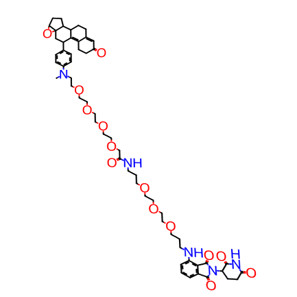 CN(CCOCCOCCOCCOCC(=O)NCCCOCCOCCOCCCNc1cccc2c1C(=O)N(C1CCC(=O)NC1=O)C2=O)c1ccc(C2CC34OC3CCC4C3CCC4=CC(=O)CCC4=C23)cc1